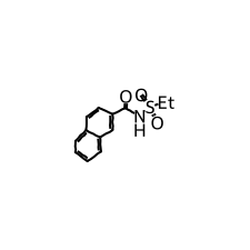 CCS(=O)(=O)NC(=O)c1ccc2ccccc2c1